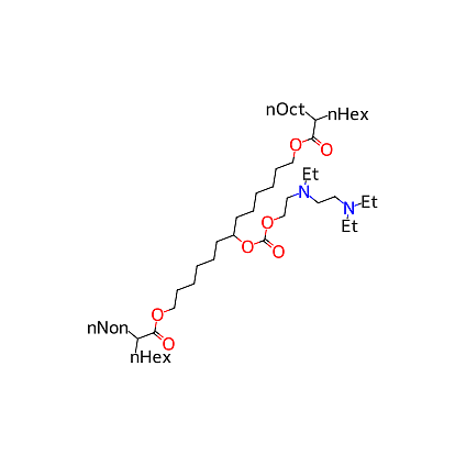 CCCCCCCCCC(CCCCCC)C(=O)OCCCCCCC(CCCCCCOC(=O)C(CCCCCC)CCCCCCCC)OC(=O)OCCN(CC)CCN(CC)CC